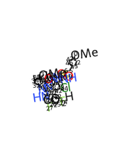 COc1ccc(CCS(=O)(=O)Nc2nn(C)c3c(-n4c([C@H](Cc5cc(F)cc(F)c5)NC(=O)O)nc5cccc(OC)c5c4=O)ccc(Cl)c23)cc1